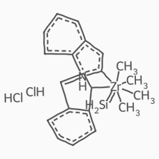 Cl.Cl.[CH3][Zr]([CH3])([CH3])([CH3])(=[SiH2])([c]1cc2ccccc2[nH]1)[CH]1C=Cc2ccccc21